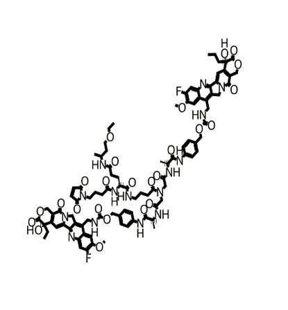 CCC[C@@]1(O)C(=O)OCc2c1cc1n(c2=O)Cc2c-1nc1cc(F)c(OC)cc1c2CNC(=O)OCc1ccc(NC(=O)[C@H](C)NC(=O)CN(CC(=O)N[C@@H](C)C(=O)Nc2ccc(COC(=O)NCc3c4c(nc5cc(F)c(OC)cc35)-c3cc5c(c(=O)n3C4)COC(=O)[C@]5(O)CC)cc2)C(=O)CCCNC(=O)[C@H](CCC(=O)NC(C)CCOCC)NC(=O)CCCN2C(=O)C=CC2=O)cc1